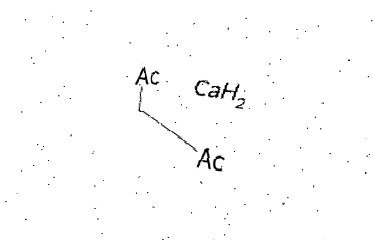 CC(=O)CC(C)=O.[CaH2]